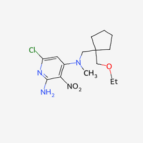 CCOCC1(CN(C)c2cc(Cl)nc(N)c2[N+](=O)[O-])CCCC1